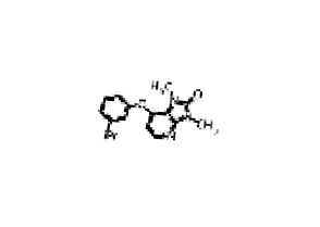 CC(C)c1cccc(Oc2ccnc3c2n(C)c(=O)n3C)c1